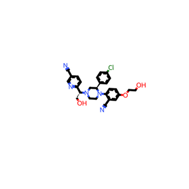 N#Cc1ccc([C@@H](CO)N2CCN(c3ccc(OCCO)cc3C#N)[C@H](c3ccc(Cl)cc3)C2)nc1